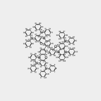 c1ccc(N(c2ccccc2)c2cc3c4c(c2)N(c2ccccc2)c2ccccc2B4c2ccc4c(c2O3)c2ccc3c(c2c2ccc5c(c42)Oc2cc(N(c4ccccc4)c4ccccc4)cc4c2B5c2ccccc2N4c2ccccc2)Oc2cc(N(c4ccccc4)c4ccccc4)cc4c2B3c2ccccc2N4c2ccccc2)cc1